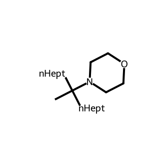 CCCCCCCC(C)(CCCCCCC)N1CCOCC1